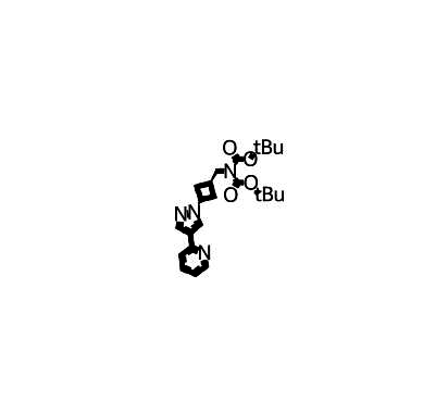 CC(C)(C)OC(=O)N(C[C@H]1C[C@H](n2cc(-c3ccccn3)cn2)C1)C(=O)OC(C)(C)C